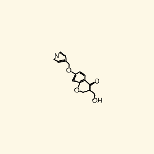 O=C1c2ccc(OCc3ccncc3)cc2OCC1CO